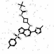 Cc1ccc(S(=O)(=O)n2ccc3c(NC4CC(NC(=O)OC(C)(C)C)C4)c(-c4nc(C)cs4)cnc32)cc1